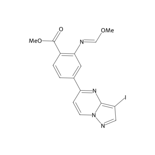 COC=Nc1cc(-c2ccn3ncc(I)c3n2)ccc1C(=O)OC